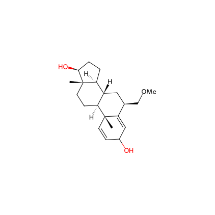 COC[C@@H]1C[C@H]2[C@@H]3CC[C@H](O)[C@@]3(C)CC[C@@H]2[C@@]2(C)C=CC(O)C=C12